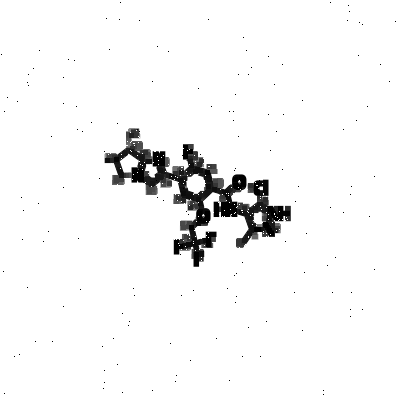 Cc1n[nH]c(Cl)c1NC(=O)c1cc(F)c(-c2cn3c(n2)C(C)CC3)cc1OCC(F)(F)F